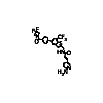 Nc1ccc(/C=C/C(=O)NCc2cc3cc(-c4ccc(C(=O)N5CC(F)(F)C5)cc4)cc(C(F)(F)F)c3s2)cn1